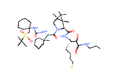 CCCNC(=O)C(=O)[C@H](CCCCF)NC(=O)[C@@H]1[C@@H]2[C@H](CN1C(=O)[C@@H](NC(=O)NC1(CS(=O)(=O)C(C)(C)C)CCCCC1)C1(C)CCCCC1)C2(C)C